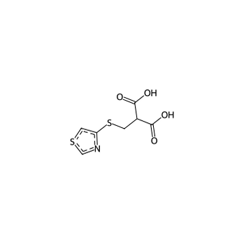 O=C(O)C(CSc1cscn1)C(=O)O